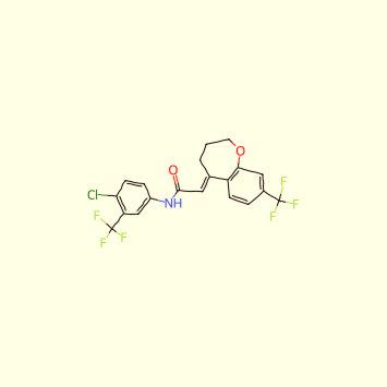 O=C(C=C1CCCOc2cc(C(F)(F)F)ccc21)Nc1ccc(Cl)c(C(F)(F)F)c1